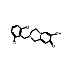 O=c1cc2n(cc1O)CCN(Cc1c(Cl)cccc1Cl)C2